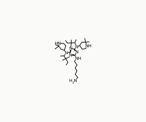 CCC(C)(C)C(C)N(c1nc(NCCCCCCN)nc(N(C2CCNC(C)(C)C2)C(C)C(C)(C)CC)n1)C1CCNC(C)(C)C1